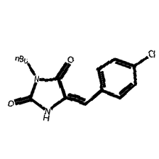 CCCCN1C(=O)NC(=Cc2ccc(Cl)cc2)C1=O